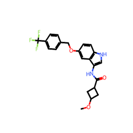 COC1CC(C(=O)Nc2c[nH]c3ccc(OCc4ccc(C(F)(F)F)cc4)cc23)C1